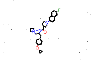 O=C(NC(Cc1ccc(OC2CC2)cc1)CN1CCC1)C1CCN(c2ccc3cc(F)ccc3c2)C1